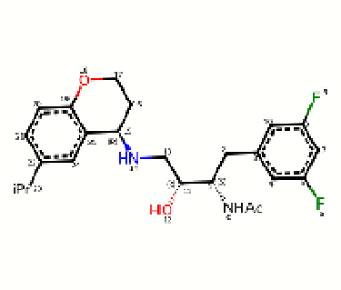 CC(=O)N[C@@H](Cc1cc(F)cc(F)c1)[C@H](O)CN[C@@H]1CCOc2ccc(C(C)C)cc21